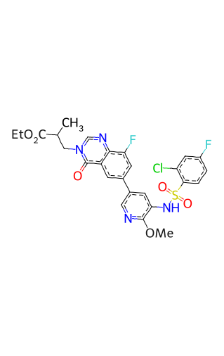 CCOC(=O)C(C)Cn1cnc2c(F)cc(-c3cnc(OC)c(NS(=O)(=O)c4ccc(F)cc4Cl)c3)cc2c1=O